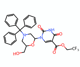 O=C(OCC(F)(F)F)c1cn(C2CN(C(c3ccccc3)(c3ccccc3)c3ccccc3)CC(CO)O2)c(=O)[nH]c1=O